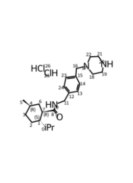 CC(C)[C@@H]1CC[C@@H](C)C[C@H]1C(=O)NCc1ccc(CN2CCNCC2)cc1.Cl.Cl